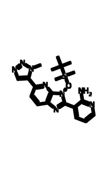 Cn1nncc1-c1ccc2nc(-c3cccnc3N)n(O[Si](C)(C)C(C)(C)C)c2n1